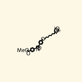 COC(=O)c1ccc(-c2cc(-c3ccc(OCCCCCCCN4C[C@@H](C)O[C@@H](C)C4)cc3)on2)cc1